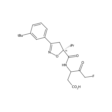 CC(C)[C@@]1(C(=O)NC(CC(=O)O)C(=O)CF)CC(c2cccc(C(C)(C)C)c2)=NO1